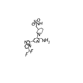 CS(=O)(=O)NCC1CCCN(c2cc(-c3cnc4ccc(C(F)F)nn34)cnc2CN)C1